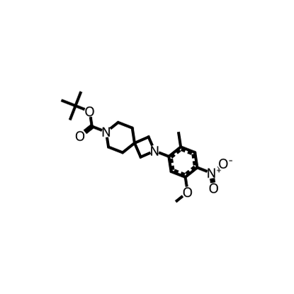 COc1cc(N2CC3(CCN(C(=O)OC(C)(C)C)CC3)C2)c(C)cc1[N+](=O)[O-]